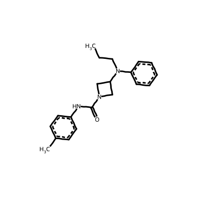 CCCN(c1ccccc1)C1CN(C(=O)Nc2ccc(C)cc2)C1